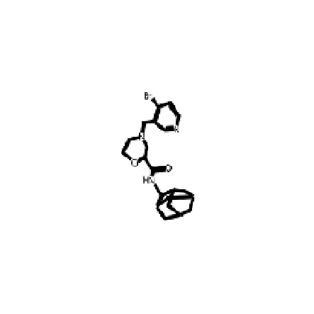 O=C(NC1C2CC3CC(C2)CC1C3)C1CN(Cc2cnccc2Br)CCO1